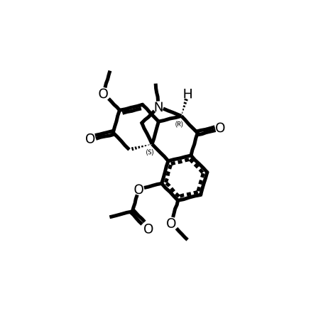 COC1=CC2[C@@H]3C(=O)c4ccc(OC)c(OC(C)=O)c4[C@@]2(CC1=O)CN3C